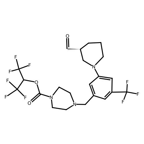 O=C[C@@H]1CCCN(c2cc(CN3CCN(C(=O)OC(C(F)(F)F)C(F)(F)F)CC3)cc(C(F)(F)F)c2)C1